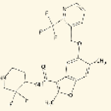 Cc1cc2oc(C)c(C(=O)NC3CCNCC3(F)F)c2cc1OCc1cccnc1C(F)(F)F